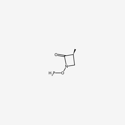 C[C@H]1CN(OP)C1=O